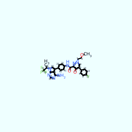 COCCn1cc(-c2ccc(F)cc2)c(=O)c(C(=O)Nc2ccc(-c3cn(C(C)C(F)(F)F)c4ncnc(N)c34)cc2)n1